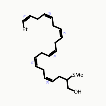 CC/C=C\C/C=C\C/C=C\C/C=C\C/C=C\C/C=C\CC(CO)SC